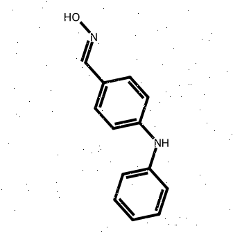 ON=Cc1ccc(Nc2ccccc2)cc1